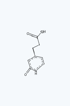 O=C(O)CCc1cc[nH]c(=O)c1